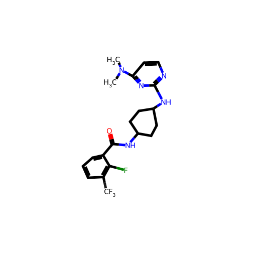 CN(C)c1ccnc(NC2CCC(NC(=O)c3cccc(C(F)(F)F)c3F)CC2)n1